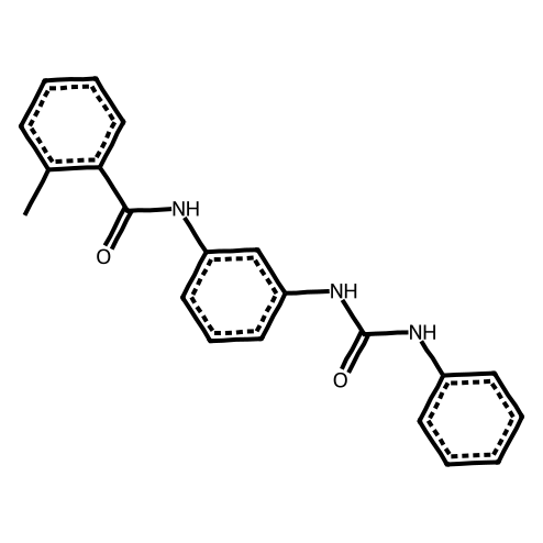 Cc1ccccc1C(=O)Nc1cccc(NC(=O)Nc2ccccc2)c1